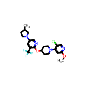 COc1cc(N2CCC(Oc3ncc(N4CCC(C)C4)cc3C(F)(F)F)CC2)c(Cl)cn1